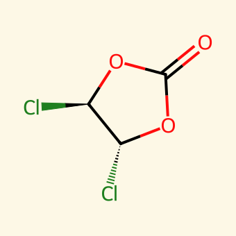 O=C1O[C@H](Cl)[C@@H](Cl)O1